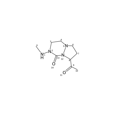 CNN1CCN2CCC(C(C)=O)N2C1=O